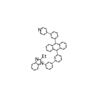 CCc1nc2ccccc2n1-c1cccc(-c2cccc(-c3c4ccccc4c(-c4cccc(-c5ccncc5)c4)c4ccccc34)c2)c1